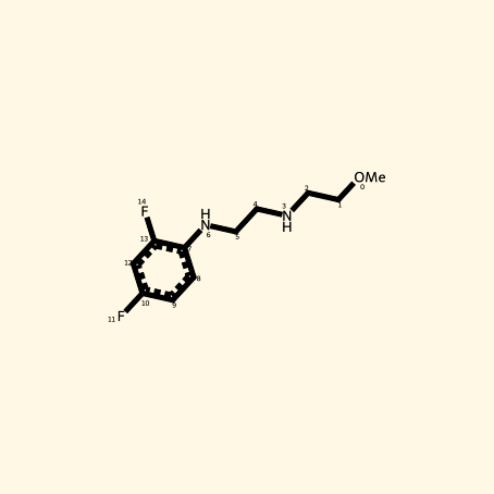 COCCNCCNc1ccc(F)cc1F